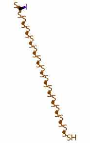 S=C(I)SSSSSSSSSSSSSSSSSSSSSSSSSS